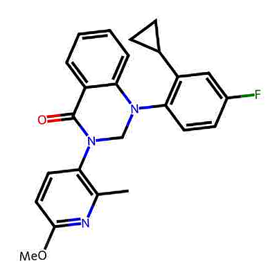 COc1ccc(N2CN(c3ccc(F)cc3C3CC3)c3ccccc3C2=O)c(C)n1